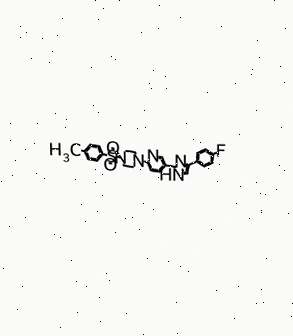 Cc1ccc(S(=O)(=O)N2CCN(c3ccc(-c4nc(-c5ccc(F)cc5)c[nH]4)cn3)CC2)cc1